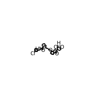 O=C1CCC(N2Cc3c(OCCCN4CCCCC4C(=O)NCc4cccc(Cl)c4)cccc3C2=O)C(=O)N1